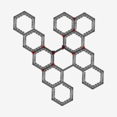 c1ccc(P(c2ccccc2)c2ccc3ccccc3c2-c2c(P(c3ccc4ccccc4c3)c3ccc4ccccc4c3)ccc3ccccc23)cc1